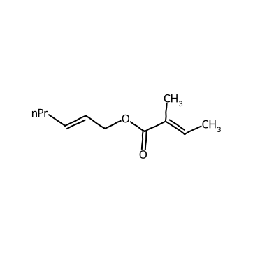 C/C=C(\C)C(=O)OC/C=C/CCC